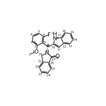 COc1cccc(F)c1[C@H](c1cc2ccccc2[nH]1)N1Cc2ccccc2C1=O